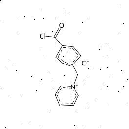 O=C(Cl)c1ccc(C[n+]2ccccc2)cc1.[Cl-]